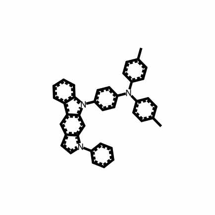 Cc1ccc(N(c2ccc(C)cc2)c2ccc(-n3c4ccccc4c4cc5ccn(-c6ccccc6)c5cc43)cc2)cc1